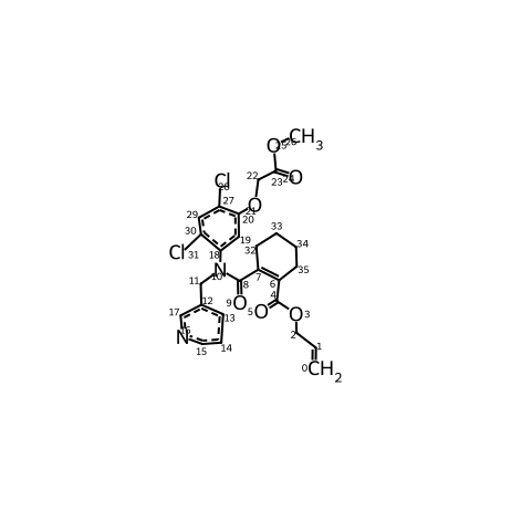 C=CCOC(=O)C1=C(C(=O)N(Cc2cccnc2)c2cc(OCC(=O)OC)c(Cl)cc2Cl)CCCC1